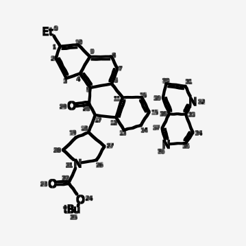 CCc1ccc2c3c(ccc2c1)C1=C(CCC=C1)C(C1CCN(C(=O)OC(C)(C)C)CC1)C3=O.c1cnc2ccncc2c1